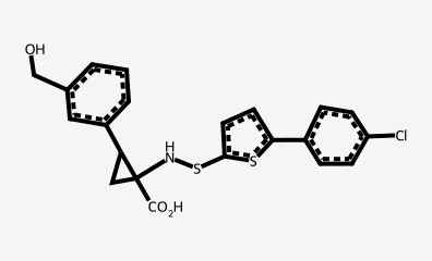 O=C(O)C1(NSc2ccc(-c3ccc(Cl)cc3)s2)CC1c1cccc(CO)c1